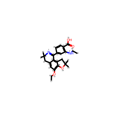 CCNc1cc(C2=NC(C)(C)Cc3cc(OCC)c4c(c32)CC(C)(C)O4)ccc1C(=O)O